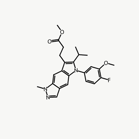 COC(=O)CCc1c(C(C)C)n(-c2ccc(F)c(OC)c2)c2cc3cnn(C)c3cc12